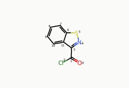 O=C(Cl)c1nsc2ccccc12